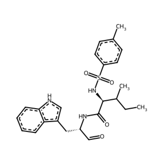 CCC(C)[C@H](NS(=O)(=O)c1ccc(C)cc1)C(=O)N[C@H](C=O)Cc1c[nH]c2ccccc12